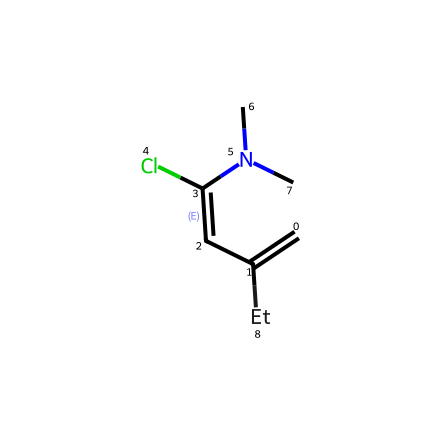 C=C(/C=C(/Cl)N(C)C)CC